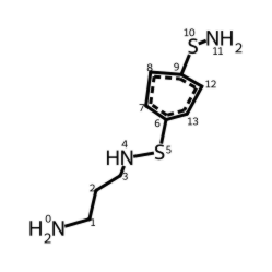 NCCCNSc1ccc(SN)cc1